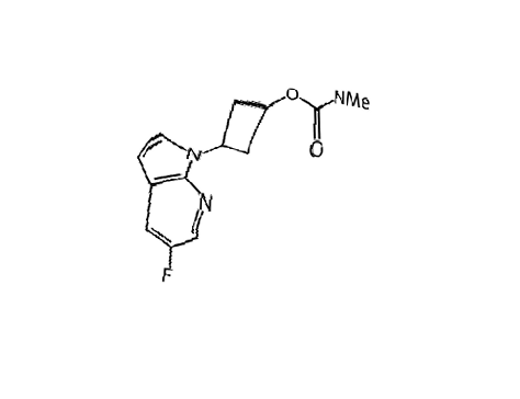 CNC(=O)OC1CC(n2ccc3cc(F)cnc32)C1